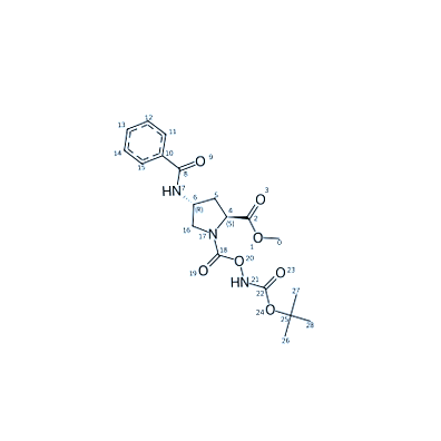 COC(=O)[C@@H]1C[C@@H](NC(=O)c2ccccc2)CN1C(=O)ONC(=O)OC(C)(C)C